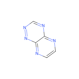 c1cnc2nncnc2n1